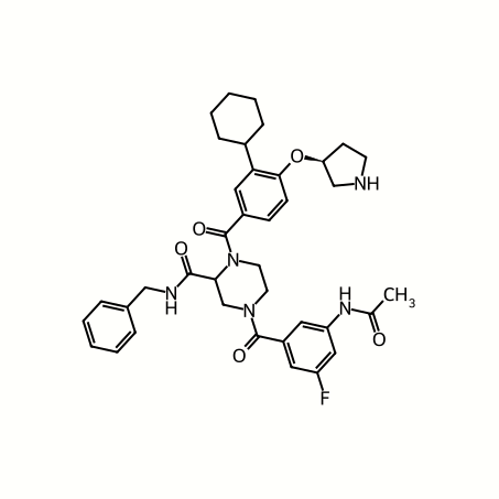 CC(=O)Nc1cc(F)cc(C(=O)N2CCN(C(=O)c3ccc(O[C@H]4CCNC4)c(C4CCCCC4)c3)C(C(=O)NCc3ccccc3)C2)c1